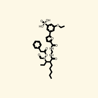 CCCCCC(C(=O)NCNC(=O)c1ccc(-c2cc(OCC)cc(P(=O)(O)O)c2)o1)C(CC)N(C=O)OC(=O)Cc1ccccc1